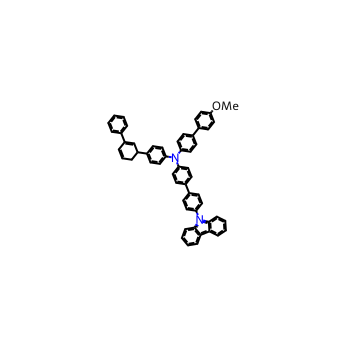 COc1ccc(-c2ccc(N(c3ccc(-c4ccc(-n5c6ccccc6c6ccccc65)cc4)cc3)c3ccc(C4C=C(c5ccccc5)C=CC4)cc3)cc2)cc1